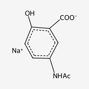 CC(=O)Nc1ccc(O)c(C(=O)[O-])c1.[Na+]